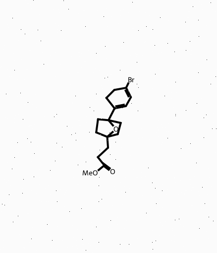 COC(=O)CCC12CCC(C3=CC=C(Br)CC3)(CC1)O2